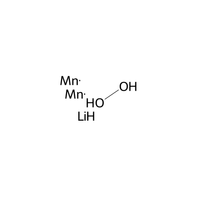 OO.[LiH].[Mn].[Mn]